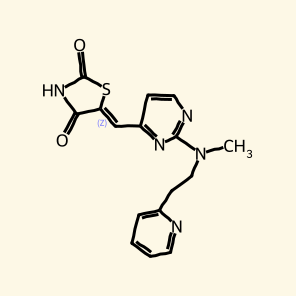 CN(CCc1ccccn1)c1nccc(/C=C2\SC(=O)NC2=O)n1